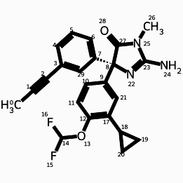 CC#Cc1cccc([C@@]2(c3ccc(OC(F)F)c(C4CC4)c3)N=C(N)N(C)C2=O)c1